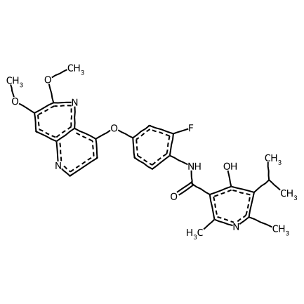 COc1cc2nccc(Oc3ccc(NC(=O)c4c(C)nc(C)c(C(C)C)c4O)c(F)c3)c2nc1OC